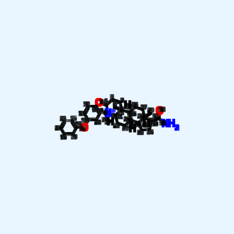 C[C@]12C=CC(=O)[N+](C)(c3cccc(Oc4ccccc4)c3)[C@@H]1CC[C@@H]1[C@@H]2CC[C@]2(C)[C@@H](C(N)=O)CC[C@@H]12